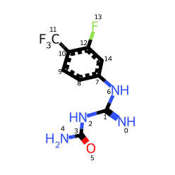 N=C(NC(N)=O)Nc1ccc(C(F)(F)F)c(F)c1